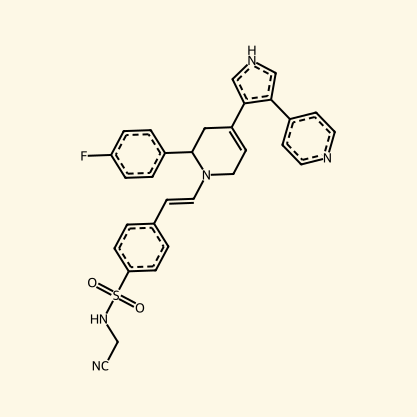 N#CCNS(=O)(=O)c1ccc(C=CN2CC=C(c3c[nH]cc3-c3ccncc3)CC2c2ccc(F)cc2)cc1